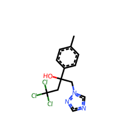 Cc1ccc(C(O)(Cn2cncn2)CC(Cl)(Cl)Cl)cc1